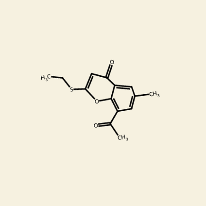 CCSc1cc(=O)c2cc(C)cc(C(C)=O)c2o1